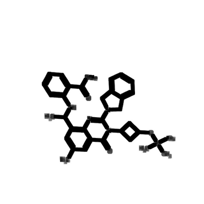 COC(=O)c1ccccc1NC(C)c1cc(C)cc2c(=O)n(C3CC(O[Si](C)(C)C(C)(C)C)C3)c(N3Cc4ccccc4C3)nc12